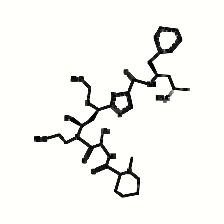 CCC(C)C(NC(=O)C1CCCCN1C)C(=O)N(CCOC)[C@H](C[C@@H](OCOC)c1nc(C(=O)N[C@@H](Cc2ccccc2)C[C@H](C)C(=O)O)cs1)C(C)C